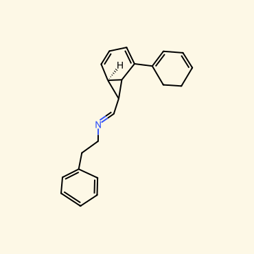 C1=CCCC(C2=CC=C[C@@H]3C(/C=N/CCc4ccccc4)C23)=C1